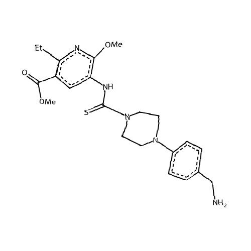 CCc1nc(OC)c(NC(=S)N2CCN(c3ccc(CN)cc3)CC2)cc1C(=O)OC